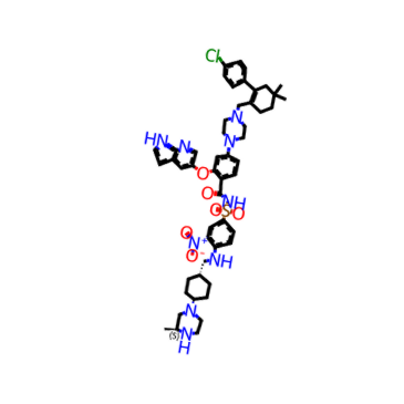 C[C@H]1CN([C@H]2CC[C@@H](CNc3ccc(S(=O)(=O)NC(=O)c4ccc(N5CCN(CC6=C(c7ccc(Cl)cc7)CC(C)(C)CC6)CC5)cc4Oc4cnc5[nH]ccc5c4)cc3[N+](=O)[O-])CC2)CCN1